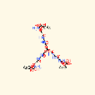 CC(=O)OCC1OC(OCCCCC(=O)NCCCNC(=O)CCOCC(C)(COCCC(=O)NCCCNC(=O)CCCCOC2OC(COC(C)=O)C(O)C(O)C2N)COCCC(=O)NCCCNC(=O)CCCCOC2OC(COC(C)=O)C(O)C(O)C2N)C(N)C(O)C1O